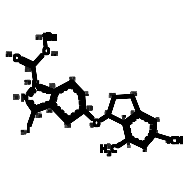 Cc1cc(C#N)cc2c1C(Oc1ccc3c(c1)c(I)nn3C(=O)OC(C)(C)C)CC2